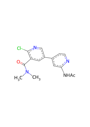 CC(=O)Nc1cc(-c2cnc(Cl)c(C(=O)N(C)C)c2)ccn1